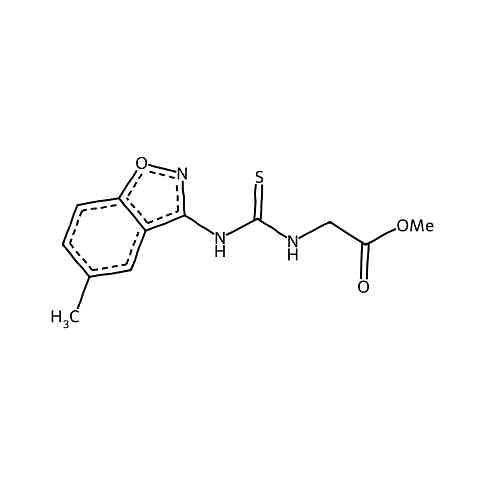 COC(=O)CNC(=S)Nc1noc2ccc(C)cc12